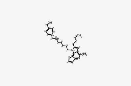 CCCCc1nc2c(N)nc3ccsc3c2n1CCCCCNCc1ccc(CO)cc1